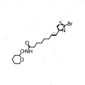 O=C(CCCCC/C=C/c1csc(Br)n1)NOC1CCCCO1